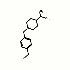 CCc1ccc(CN2CCC(C(C)C)CC2)cc1